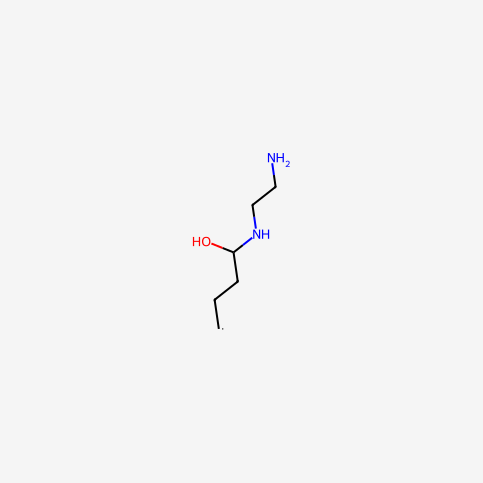 [CH2]CCC(O)NCCN